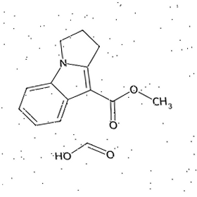 COC(=O)c1c2n(c3ccccc13)CCC2.O=CO